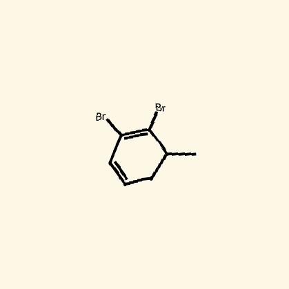 CC1CC=CC(Br)=C1Br